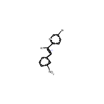 CC(=O)/C(=C\c1cccc([N+](=O)[O-])c1)c1ccc(Br)cn1